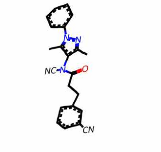 Cc1nn(-c2ccccc2)c(C)c1N(C#N)C(=O)CCc1cccc(C#N)c1